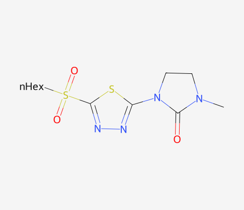 CCCCCCS(=O)(=O)c1nnc(N2CCN(C)C2=O)s1